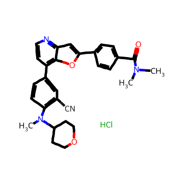 CN(C)C(=O)c1ccc(-c2cc3nccc(-c4ccc(N(C)C5CCOCC5)c(C#N)c4)c3o2)cc1.Cl